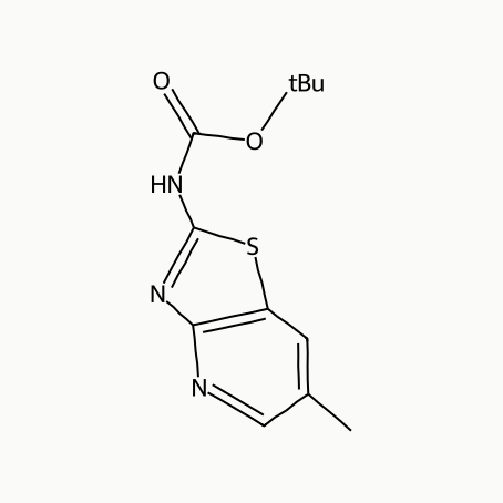 Cc1cnc2nc(NC(=O)OC(C)(C)C)sc2c1